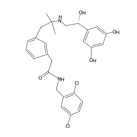 CC(C)(Cc1cccc(CC(=O)NCc2cc(Cl)ccc2Cl)c1)NC[C@H](O)c1cc(O)cc(O)c1